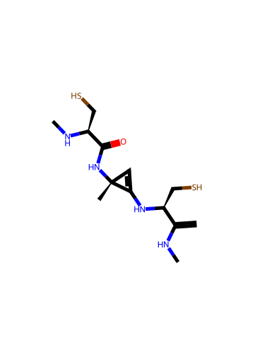 C=C(NC)[C@H](CS)NC1=C[C@@]1(C)NC(=O)[C@H](CS)NC